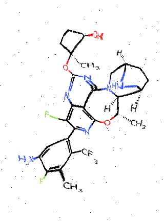 Cc1c(F)c(N)cc(-c2nc3c4c(nc(O[C@@]5(C)CC[C@H]5O)nc4c2F)N2C[C@H]4CC[C@H](N4)[C@H]2[C@H](C)O3)c1C(F)(F)F